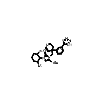 CCCCc1cn(C2C(CC)CCCC2C(C)C)c(=O)n1CC1(c2cccc(-c3nnn[nH]3)c2)C=CN=CC1